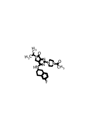 CC(=O)N1CCN(c2nc(NC3CCc4cc(F)ccc4C3)c3c(n2)C(=O)N(C(C)C)C3)CC1